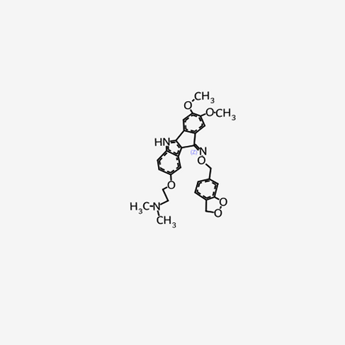 COc1cc2c(cc1OC)-c1[nH]c3ccc(OCCN(C)C)cc3c1/C2=N\OCc1ccc2c(c1)OOC2